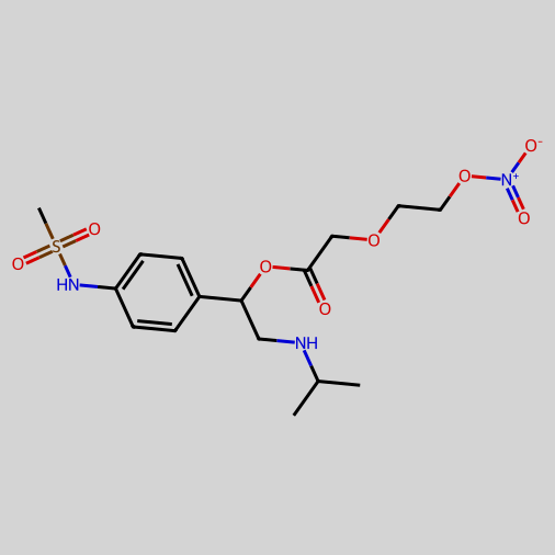 CC(C)NCC(OC(=O)COCCO[N+](=O)[O-])c1ccc(NS(C)(=O)=O)cc1